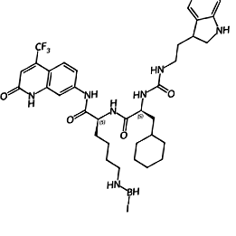 O=C(NCCC1CNc2ccccc21)N[C@@H](CC1CCCCC1)C(=O)N[C@@H](CCCCNBI)C(=O)Nc1ccc2c(C(F)(F)F)cc(=O)[nH]c2c1